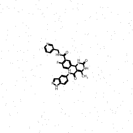 CC1=C(C(=O)Nc2ccc3[nH]ncc3c2)C(c2ccc(F)c(C(=O)NCc3cccnc3)c2)NC(=O)N1